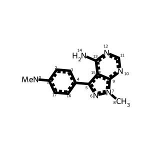 CNc1ccc(-c2nn(C)c3ncnc(N)c23)cc1